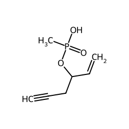 C#CCC(C=C)OP(C)(=O)O